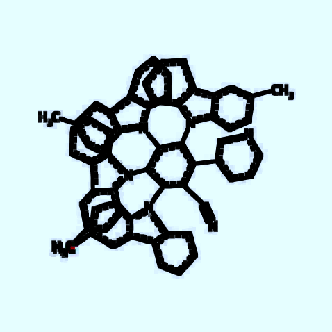 Cc1ccc2c(c1)c1ccccc1n2-c1c(C#N)c(-c2cccnc2)c(-n2c3ccccc3c3cc(C)ccc32)c(-n2c3ccccc3c3cc(C)ccc32)c1-n1c2ccccc2c2cc(C)ccc21